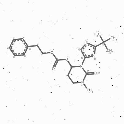 CN1CCC(OC(=O)OCCc2ccccc2)N(c2nnc(C(C)(C)C)s2)C1=O